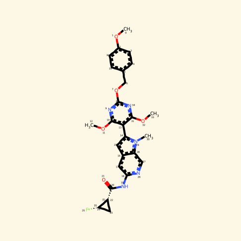 COc1ccc(COc2nc(OC)c(-c3cc4cc(NC(=O)[C@@H]5C[C@@H]5F)ncc4n3C)c(OC)n2)cc1